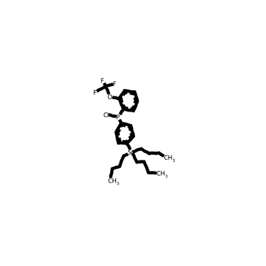 CCCC[Si](CCCC)(CCCC)c1ccc(P(Cl)c2ccccc2OC(F)(F)F)cc1